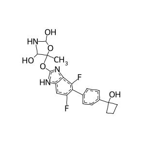 CC1(Oc2nc3c(F)c(-c4ccc(C5(O)CCC5)cc4)c(F)cc3[nH]2)OC(O)NC1O